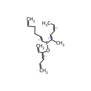 C=C/C=C(\C=C)OP(/C=C/CCC=C)/C(C)=C/C=C\C